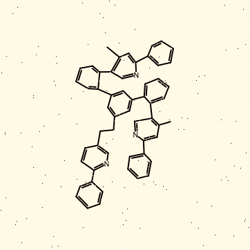 Cc1cc(-c2ccccc2)ncc1-c1ccccc1-c1cc(CCc2ccc(-c3ccccc3)nc2)cc(-c2ccccc2-c2cnc(-c3ccccc3)cc2C)c1